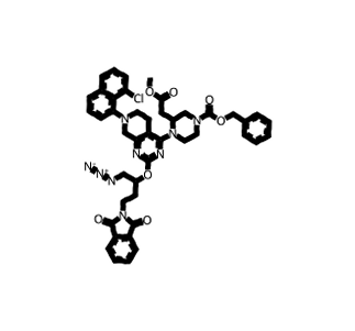 COC(=O)CC1CN(C(=O)OCc2ccccc2)CCN1c1nc(OC(CCN2C(=O)c3ccccc3C2=O)CN=[N+]=[N-])nc2c1CCN(c1cccc3cccc(Cl)c13)C2